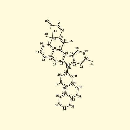 C=C/C=C\C1=C(C)c2c3c(cccc3cc3c2c2ccc(C)cc2n3-c2ccc3c(ccc4ccccc43)c2)C1(C)C